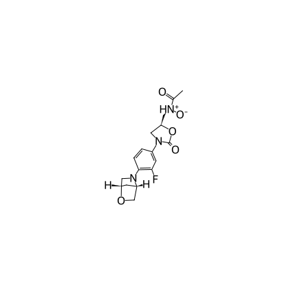 CC(=O)[NH+]([O-])C[C@@H]1CN(c2ccc(N3C[C@@H]4C[C@H]3CO4)c(F)c2)C(=O)O1